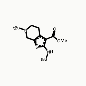 COC(=O)c1c(NC(C)(C)C)sc2c1CCN(C(C)(C)C)C2